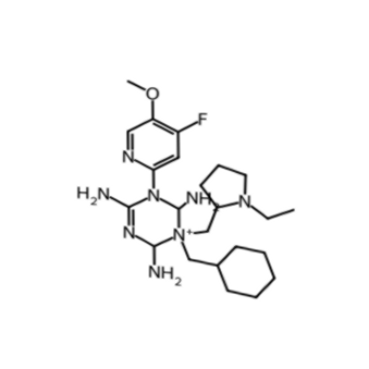 CCN1CCCC1C[N+]1(CC2CCCCC2)C(N)N=C(N)N(c2cc(F)c(OC)cn2)C1N